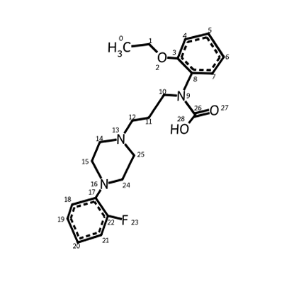 CCOc1ccccc1N(CCCN1CCN(c2ccccc2F)CC1)C(=O)O